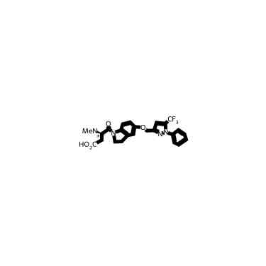 CN[C@H](CC(=O)O)C(=O)N1CCc2cc(OCc3cc(C(F)(F)F)n(-c4ccccc4)n3)ccc21